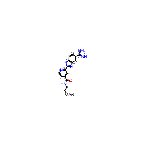 COCCNC(=O)c1ccnc(-c2nc3cc(C(=N)N)ccc3[nH]2)c1